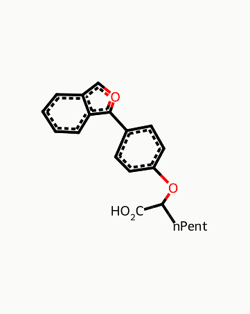 CCCCCC(Oc1ccc(-c2occ3ccccc23)cc1)C(=O)O